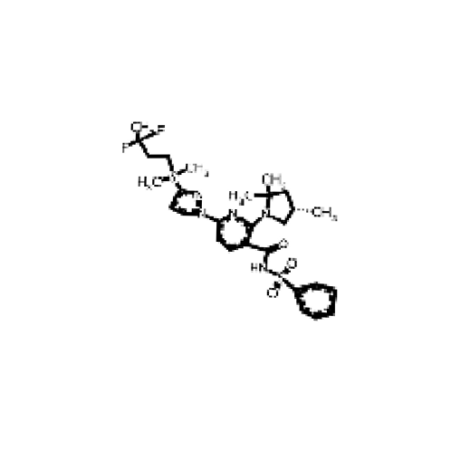 C[C@@H]1CN(c2nc(-n3ccc(S(C)(C)CCC(C)(F)F)n3)ccc2C(=O)NS(=O)(=O)c2ccccc2)C(C)(C)C1